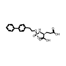 O=C(O)CC[C@H](NP(=O)(O)OCCc1ccc(-c2ccccc2)cc1)C(=O)O